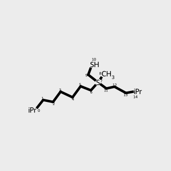 CC(C)CCCCCCS(C)(CS)CCCC(C)C